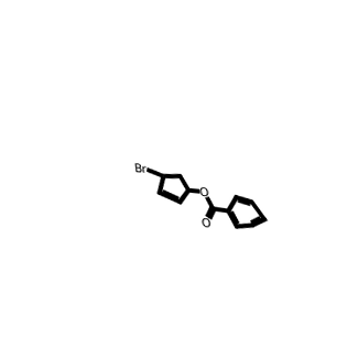 O=C(OC1C=CC(Br)C1)c1ccccc1